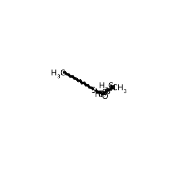 CCCCCCCCCCCCCCCCSCCCO[PH](=O)OOCCN(C)C